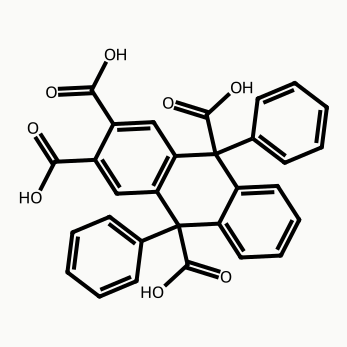 O=C(O)c1cc2c(cc1C(=O)O)C(C(=O)O)(c1ccccc1)c1ccccc1C2(C(=O)O)c1ccccc1